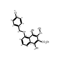 CCOC(=O)c1c(OCC)c(C(C)C)c2c(OCc3ccc(Cl)cc3)cccc2c1C(C)C